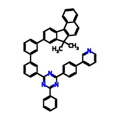 CC1(C)c2cc(-c3cccc(-c4cccc(-c5nc(-c6ccccc6)nc(-c6ccc(-c7cccnc7)cc6)n5)c4)c3)ccc2-c2c1ccc1ccccc21